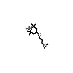 CN(C)CCCOC1CC(C)(C)NC(C)(C)C1